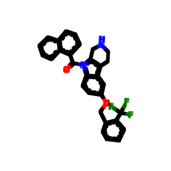 O=C(c1cccc2ccccc12)n1c2c(c3cc(OCc4ccccc4C(F)(F)F)ccc31)CCNC2